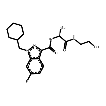 CC(C)(C)[C@H](NC(=O)c1nn(CC2CCCCC2)c2cc(F)ccc12)C(=O)NCCO